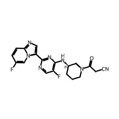 N#CCC(=O)N1CCC[C@@H](Nc2nc(-c3cnc4ccc(F)cn34)ncc2F)C1